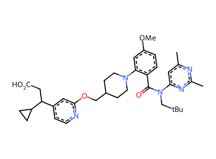 COc1ccc(C(=O)N(CC(C)(C)C)c2cc(C)nc(C)n2)c(N2CCC(COc3cc(C(CC(=O)O)C4CC4)ccn3)CC2)c1